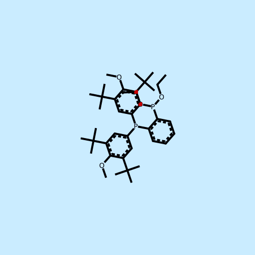 CCOP(OCC)c1ccccc1P(c1cc(C(C)(C)C)c(OC)c(C(C)(C)C)c1)c1cc(C(C)(C)C)c(OC)c(C(C)(C)C)c1